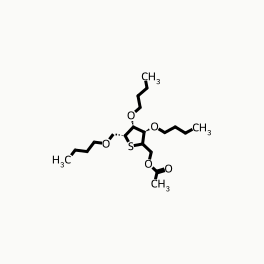 CCCCOC[C@H]1SC(COC(C)=O)[C@@H](OCCCC)[C@H]1OCCCC